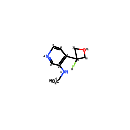 O=C(O)Nc1cnccc1C1(F)COC1